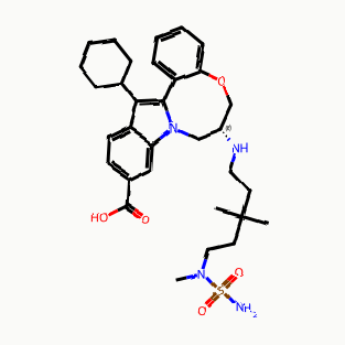 CN(CCC(C)(C)CCN[C@H]1COc2ccccc2-c2c(C3CCCCC3)c3ccc(C(=O)O)cc3n2C1)S(N)(=O)=O